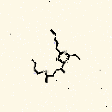 C=C/C=C/Cc1nc(CC)nc(C(=C)CCC(=C)N/C=C\CC)n1